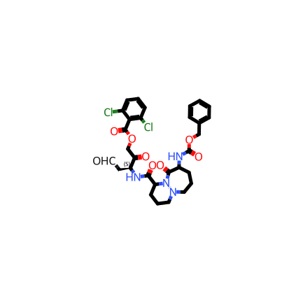 O=CC[C@H](NC(=O)C1CCCN2CCCC(NC(=O)OCc3ccccc3)C(=O)N12)C(=O)COC(=O)c1c(Cl)cccc1Cl